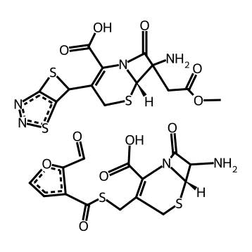 COC(=O)CC1(N)C(=O)N2C(C(=O)O)=C(C3Sc4nnsc43)CS[C@H]21.NC1C(=O)N2C(C(=O)O)=C(CSC(=O)c3ccoc3C=O)CS[C@@H]12